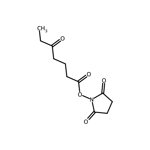 CCC(=O)CCCC(=O)ON1C(=O)CCC1=O